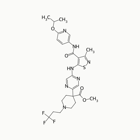 COC(=O)C1(c2cnc(Nc3snc(C)c3C(=O)Nc3ccc(OC(C)C)nc3)cn2)CCN(CCC(F)(F)F)CC1